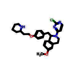 COc1ccc2c(c1)CCN(c1ccnc(Cl)n1)C2Cc1ccc(OCCC2CCCCN2)cc1